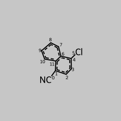 N#Cc1ccc(Cl)c2ccccc12